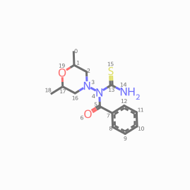 CC1CN(N(C(=O)c2ccccc2)C(N)=S)CC(C)O1